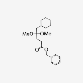 COC(CCC(=O)OCc1ccccc1)(CC1CCCCC1)OC